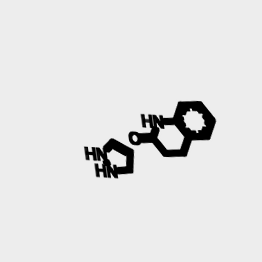 C1=CNNC1.O=C1CCc2ccccc2N1